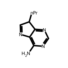 CCCC1C=Nc2c(N)ncnc21